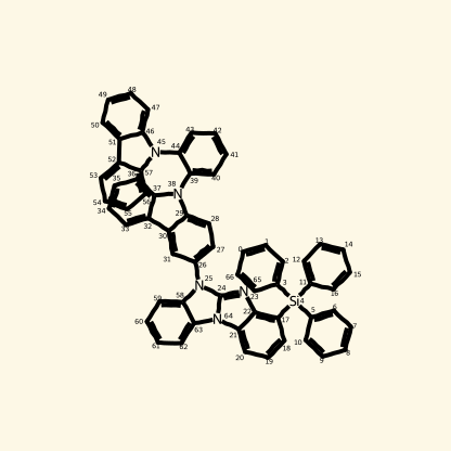 c1ccc([Si](c2ccccc2)(c2ccccc2)c2cccc3c2nc2n(-c4ccc5c(c4)c4ccccc4n5-c4ccccc4-n4c5ccccc5c5ccccc54)c4ccccc4n32)cc1